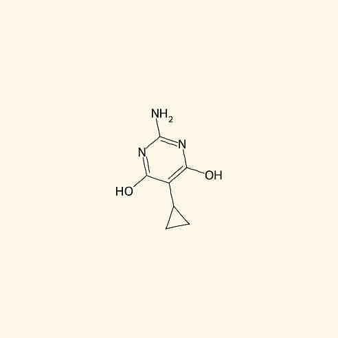 Nc1nc(O)c(C2CC2)c(O)n1